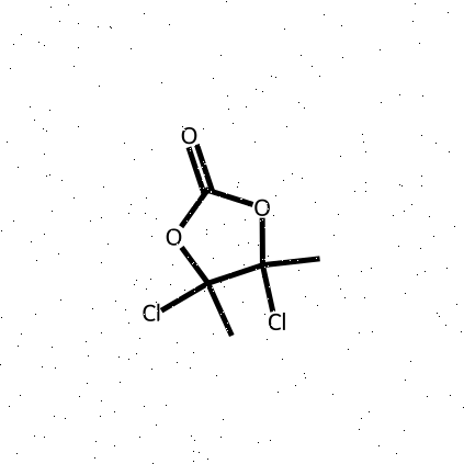 CC1(Cl)OC(=O)OC1(C)Cl